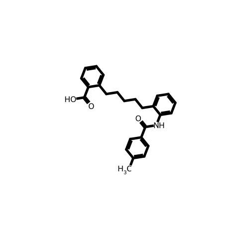 Cc1ccc(C(=O)Nc2ccccc2CCCCCc2ccccc2C(=O)O)cc1